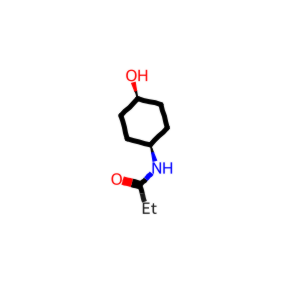 CCC(=O)N[C@H]1CC[C@@H](O)CC1